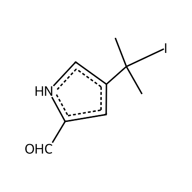 CC(C)(I)c1c[nH]c(C=O)c1